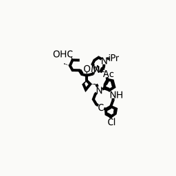 CO[C@](/C=C/C[C@H](C)[C@@H](C)C=O)(CN1CCCN(C(C)C)CC1)[C@@H]1CC[C@H]1CN1CCCCc2cc(Cl)ccc2CNc2ccc(C(C)=O)cc21